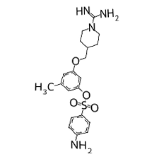 Cc1cc(OCC2CCN(C(=N)N)CC2)cc(OS(=O)(=O)c2ccc(N)cc2)c1